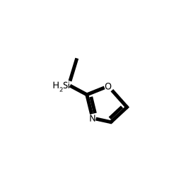 C[SiH2]c1ncco1